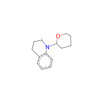 [CH]1CCc2ccccc2N1C1CCCCO1